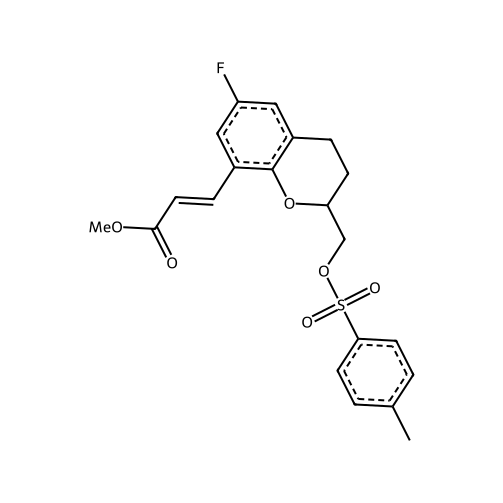 COC(=O)/C=C/c1cc(F)cc2c1OC(COS(=O)(=O)c1ccc(C)cc1)CC2